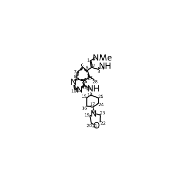 CN/C=C(\C=N)c1ccc2ncnc(N[C@H]3CC[C@H](N4CCOCC4)CC3)c2c1C